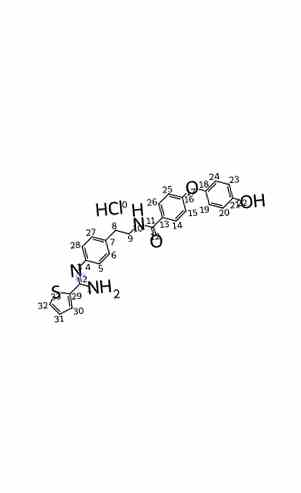 Cl.N/C(=N\c1ccc(CCNC(=O)c2ccc(Oc3ccc(O)cc3)cc2)cc1)c1cccs1